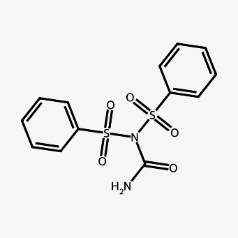 NC(=O)N(S(=O)(=O)c1ccccc1)S(=O)(=O)c1ccccc1